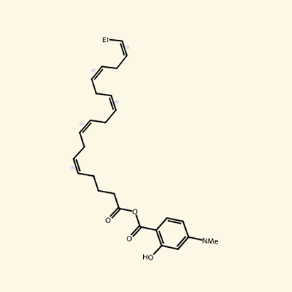 CC/C=C\C/C=C\C/C=C\C/C=C\C/C=C\CCCC(=O)OC(=O)c1ccc(NC)cc1O